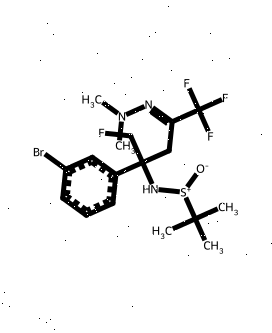 CN(C)/N=C(\CC(CF)(N[S+]([O-])C(C)(C)C)c1cccc(Br)c1)C(F)(F)F